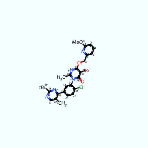 COc1cccc(COc2nc(C)n(-c3cc(-c4nc(C(C)(C)C)ncc4C)ccc3Cl)c(=O)c2Br)n1